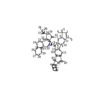 CC1=CC(C)(C)c2cc3c(cc21)-c1cc2c(cc1[CH]3/[Zr+2](=[CH]/c1cccc3ccccc13)[C]1=C(C)C([Si](C)(C)C)=CC1C)C(C)(C)C=C2C.[Cl-].[Cl-]